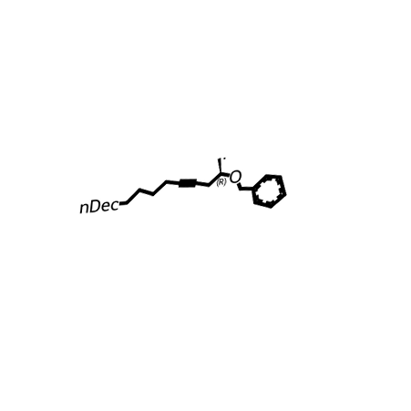 [CH2][C@H](CC#CCCCCCCCCCCCCCC)OCc1ccccc1